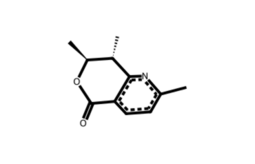 Cc1ccc2c(n1)[C@@H](C)[C@H](C)OC2=O